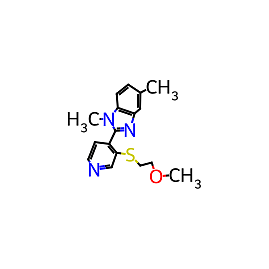 COCCSc1cnccc1-c1nc2cc(C)ccc2n1C